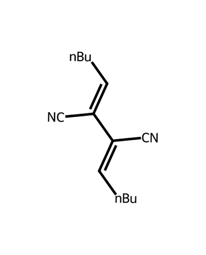 CCCC/C=C(C#N)/C(C#N)=C/CCCC